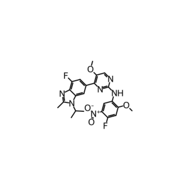 COc1cc(F)c([N+](=O)[O-])cc1Nc1ncc(OC)c(-c2cc(F)c3nc(C)n(C(C)C)c3c2)n1